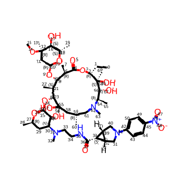 CC[C@H]1OC(=O)[C@H](C)[C@@H](O[C@H]2C[C@@](C)(OC)[C@@H](O)[C@H](C)O2)[C@H](C)[C@@H](O[C@@H]2O[C@H](C)C[C@H](N(C)CCNC(=O)[C@@H]3[C@@H]4CN(c5ccc([N+](=O)[O-])cc5)C[C@@H]43)[C@H]2O)[C@](C)(O)C[C@@H](C)CN(C)[C@H](C)[C@@H](O)[C@]1(C)O